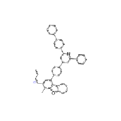 C=C/C=C\c1cc(-c2ccc(-c3cc(-c4ccccc4)nc(-c4ccc(-c5ccccc5)cc4)c3)cc2)c2c(oc3ccccc32)c1C